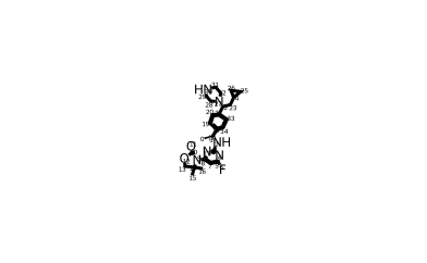 C[C@H](Nc1nc(F)cc(N2C(=O)OCC2(C)C)n1)c1ccc(C(CC2CC2)N2CCNCC2)cc1